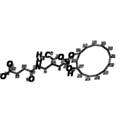 CCO[Si]1(CCCNC(=O)CCC(=O)O)OC2CCCCCCCCCC[C@H](C2)O1